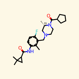 Cc1c(NC(=O)C2CC2(C)C)ccc(F)c1CN1CCN(C(=O)C2CCCC2)[C@@H](C)C1